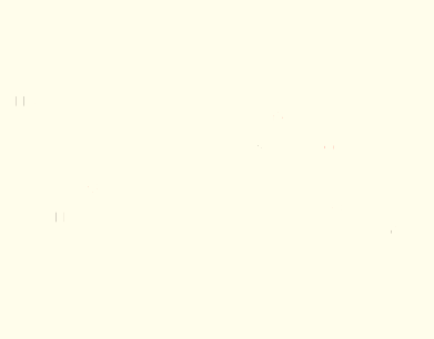 CCOC(=O)CC(=O)c1ccc(C(OCC)OCC)cc1